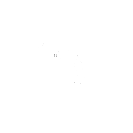 CC(C)CN(c1ccc(OC(F)(F)F)cc1)S(=O)(=O)c1ccc2nn(CC3CCOCC3)cc2c1